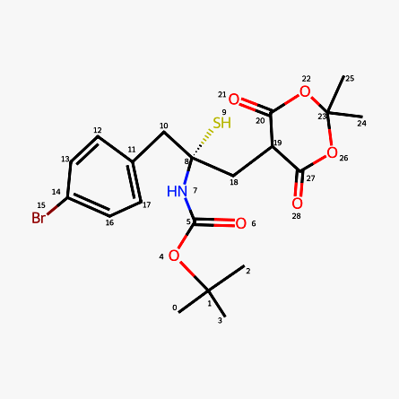 CC(C)(C)OC(=O)N[C@@](S)(Cc1ccc(Br)cc1)CC1C(=O)OC(C)(C)OC1=O